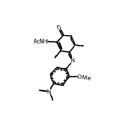 COc1cc(N(C)C)ccc1N=C1C(C)=CC(=O)C(NC(C)=O)=C1C